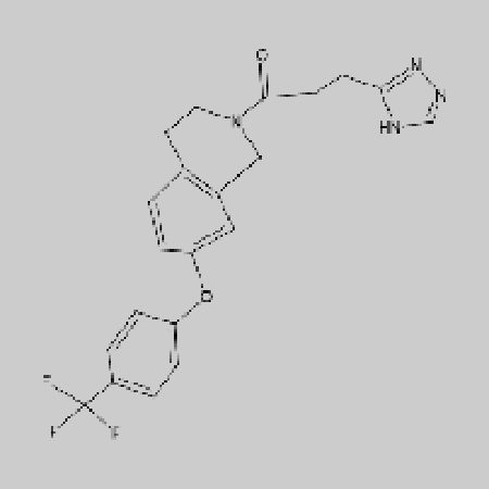 O=C(CCc1nnc[nH]1)N1CCc2ccc(Oc3ccc(C(F)(F)F)cc3)cc2C1